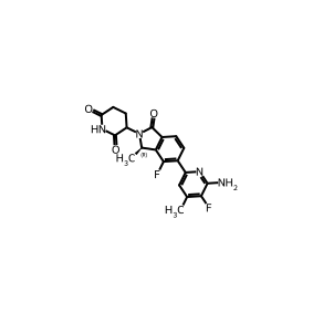 Cc1cc(-c2ccc3c(c2F)[C@@H](C)N(C2CCC(=O)NC2=O)C3=O)nc(N)c1F